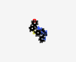 N#CC1(c2cccc(Sc3ccc4c(c3)ncc3nnc(-c5ccccn5)n34)c2)CCOCC1